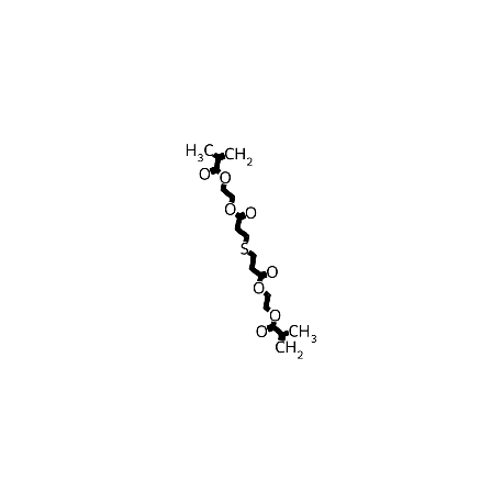 C=C(C)C(=O)OCCOC(=O)CCSCCC(=O)OCCOC(=O)C(=C)C